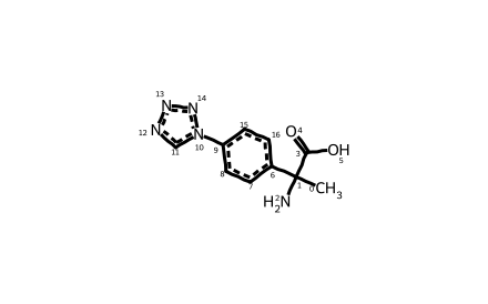 CC(N)(C(=O)O)c1ccc(-n2cnnn2)cc1